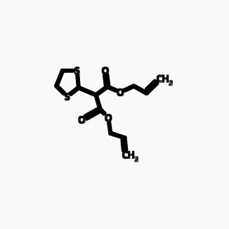 C=CCOC(=O)C(C(=O)OCC=C)C1SCCS1